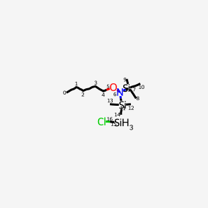 CCCCCON([Si](C)(C)C)[Si](C)(C)C.[SiH3]Cl